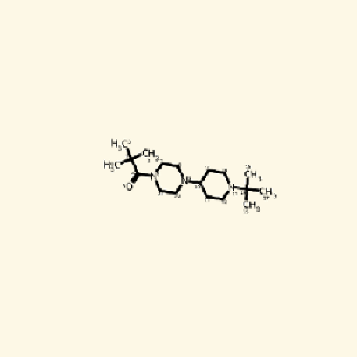 CC(C)(C)C(=O)N1CCN(C2CCN(C(C)(C)C)CC2)CC1